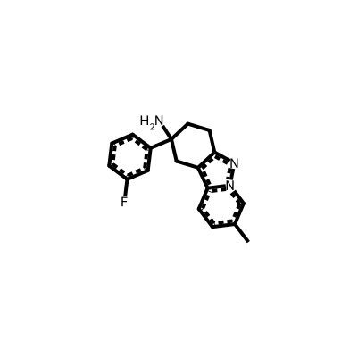 Cc1ccc2c3c(nn2c1)CCC(N)(c1cccc(F)c1)C3